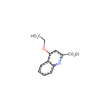 CCOC(=O)c1cc(OCC(=O)O)c2ccccc2n1